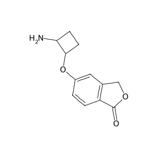 NC1CCC1Oc1ccc2c(c1)COC2=O